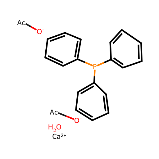 CC(=O)[O-].CC(=O)[O-].O.[Ca+2].c1ccc(P(c2ccccc2)c2ccccc2)cc1